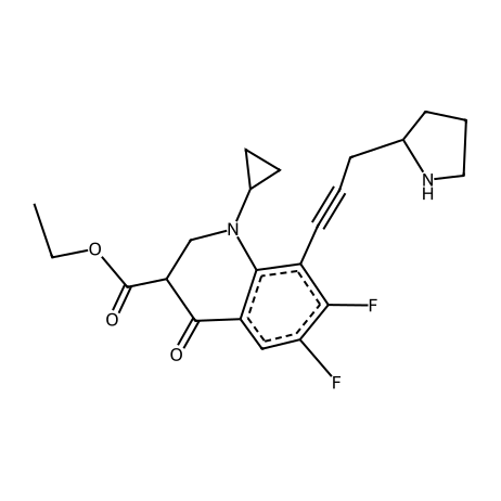 CCOC(=O)C1CN(C2CC2)c2c(cc(F)c(F)c2C#CCC2CCCN2)C1=O